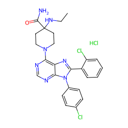 CCNC1(C(N)=O)CCN(c2ncnc3c2nc(-c2ccccc2Cl)n3-c2ccc(Cl)cc2)CC1.Cl